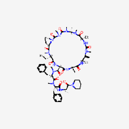 C=C1[C@@H](CC)NC(=O)[C@@H](C)NC(=O)[C@@H](C(=O)N(C)[C@@H](Cc2ccccc2)C(=O)N(C)[C@@H](Cc2ccccc2)C(=O)N[C@@H](C)C(=O)N2CCCCC2)NC(=O)[C@H](CC(C)C)N(C)C(=O)[C@H](CC(C)C)N(C)C(=O)N(C)C(=O)N(C)[C@H](C)N(C)C(=O)[C@H](CC)NC(=O)N1C